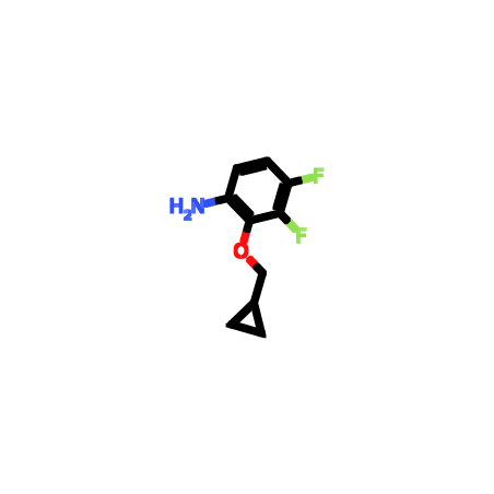 Nc1ccc(F)c(F)c1OCC1CC1